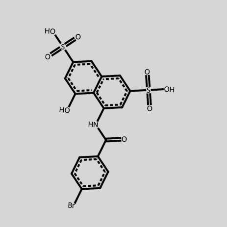 O=C(Nc1cc(S(=O)(=O)O)cc2cc(S(=O)(=O)O)cc(O)c12)c1ccc(Br)cc1